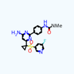 CNC(=O)Nc1ccc(-c2nc(N)cc(C3(S(=O)(=O)c4cncc(F)c4)CC3)n2)cc1